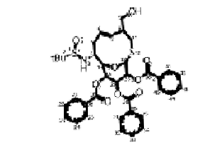 CC(C)(C)[S@@+]([O-])N[C@@H]1C/C=C/C(CO)CSC2OC1C(OC(=O)c1ccccc1)C(OC(=O)c1ccccc1)C2OC(=O)c1ccccc1